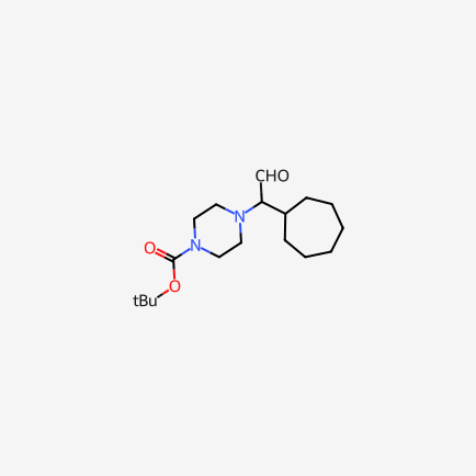 CC(C)(C)OC(=O)N1CCN(C(C=O)C2CCCCCC2)CC1